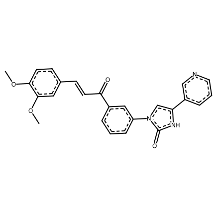 COc1ccc(/C=C/C(=O)c2cccc(-n3cc(-c4cccnc4)[nH]c3=O)c2)cc1OC